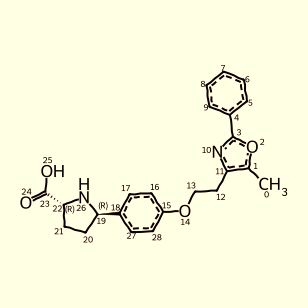 Cc1oc(-c2ccccc2)nc1CCOc1ccc([C@H]2CC[C@H](C(=O)O)N2)cc1